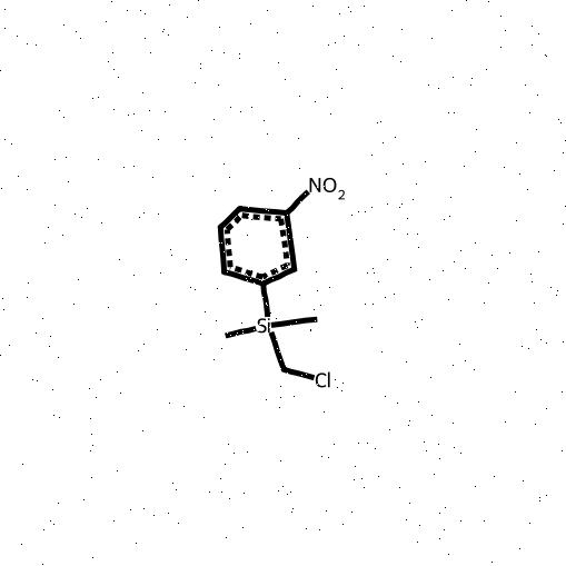 C[Si](C)(CCl)c1cccc([N+](=O)[O-])c1